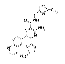 Cn1ccc(CNC(=O)c2nc(-c3ccc4ncccc4c3)c(-c3ccn(C)n3)nc2N)n1